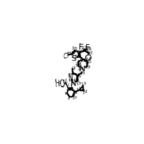 Cc1nn(-c2c(CO)cccc2C2CC2)cc1CN1CCC2(CC1)OCC(F)(F)c1cc(Cl)sc12